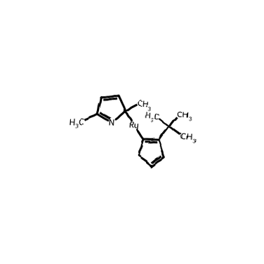 CC1=N[C](C)([Ru][C]2=C(C(C)(C)C)C=CC2)C=C1